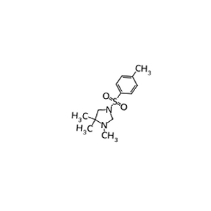 Cc1ccc(S(=O)(=O)N2CN(C)C(C)(C)C2)cc1